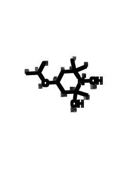 CC(C)OC1CC(C)(C)N(O)C(C)(O)C1